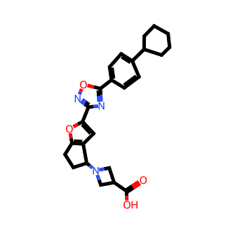 O=C(O)C1CN(C2CCc3oc(-c4noc(-c5ccc(C6CCCCC6)cc5)n4)cc32)C1